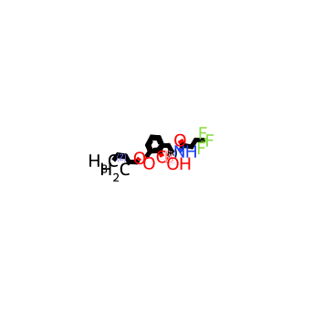 C=C(/C=C\C)COC(=O)c1cccc2c1OB(O)[C@@H](NC(=O)CCC(F)(F)F)C2